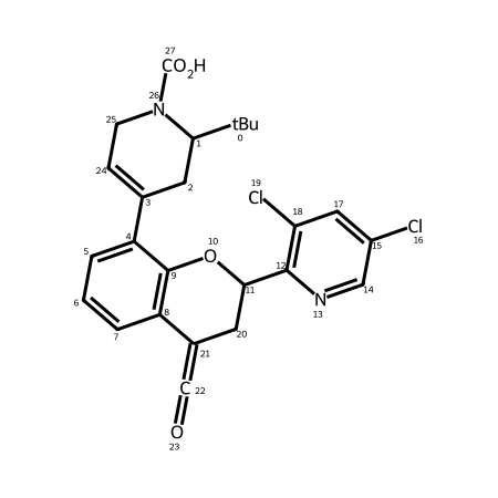 CC(C)(C)C1CC(c2cccc3c2OC(c2ncc(Cl)cc2Cl)CC3=C=O)=CCN1C(=O)O